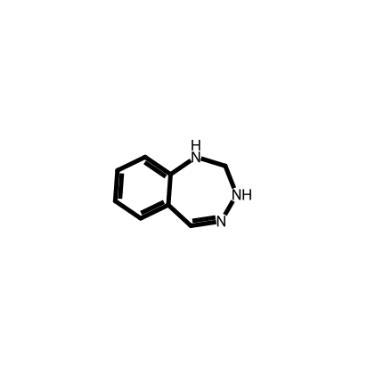 C1=NNCNc2ccccc21